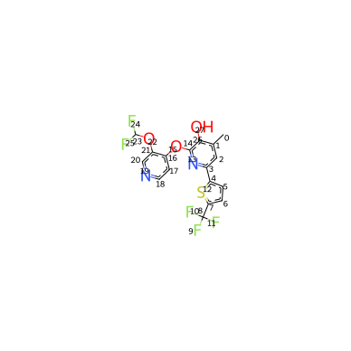 Cc1cc(-c2ccc(C(F)(F)F)s2)nc(Oc2ccncc2OC(F)F)c1O